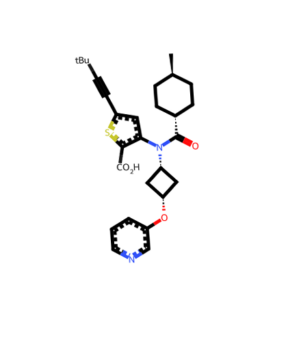 CC(C)(C)C#Cc1cc(N(C(=O)[C@H]2CC[C@H](C)CC2)[C@H]2C[C@@H](Oc3cccnc3)C2)c(C(=O)O)s1